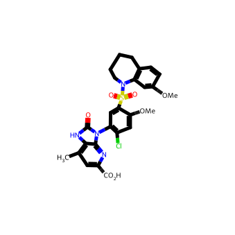 COc1ccc2c(c1)N(S(=O)(=O)c1cc(-n3c(=O)[nH]c4c(C)cc(C(=O)O)nc43)c(Cl)cc1OC)CCCC2